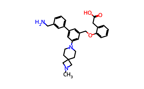 CN1CC2(CCN(c3cc(COc4ccccc4CC(=O)O)cc(-c4cccc(CN)c4)c3)CC2)C1